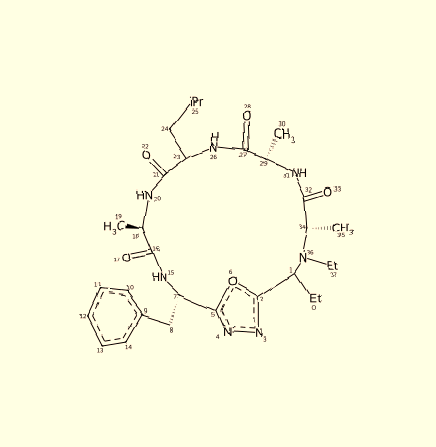 CCC1c2nnc(o2)[C@H](Cc2ccccc2)NC(=O)[C@@H](C)NC(=O)C(CC(C)C)NC(=O)[C@H](C)NC(=O)[C@H](C)N1CC